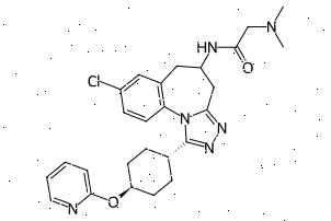 CN(C)CC(=O)NC1Cc2cc(Cl)ccc2-n2c(nnc2[C@H]2CC[C@H](Oc3ccccn3)CC2)C1